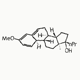 CCC[C@]1(O)CC[C@H]2[C@@H]3CC=C4C=C(OC)C=C[C@@H]4[C@H]3CC[C@@]21C